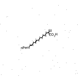 CCCCCC=CCC=CCCCCCCC(CC)C(=O)O